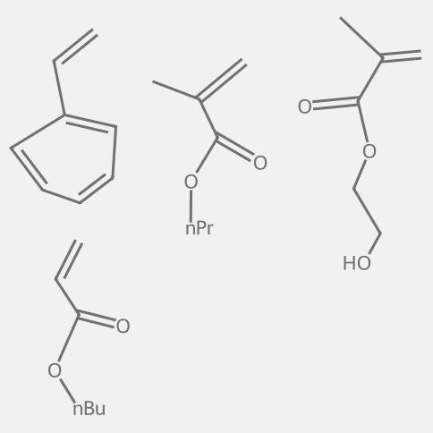 C=C(C)C(=O)OCCC.C=C(C)C(=O)OCCO.C=CC(=O)OCCCC.C=Cc1ccccc1